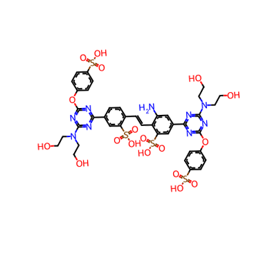 Nc1cc(-c2nc(Oc3ccc(S(=O)(=O)O)cc3)nc(N(CCO)CCO)n2)cc(S(=O)(=O)O)c1C=Cc1ccc(-c2nc(Oc3ccc(S(=O)(=O)O)cc3)nc(N(CCO)CCO)n2)cc1S(=O)(=O)O